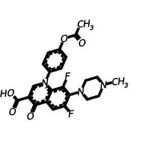 CC(=O)Oc1ccc(-n2cc(C(=O)O)c(=O)c3cc(F)c(N4CCN(C)CC4)c(F)c32)cc1